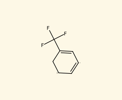 FC(F)(F)C1=C[C]=C[C]C1